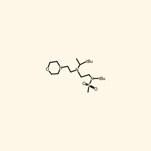 CC(N(CCN1CCOCC1)CCN(C(C)(C)C)S(C)(=O)=O)C(C)(C)C